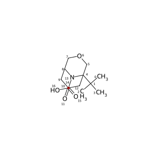 CC(C)(C)C12COCC(CC(=O)C1)N2C(=O)O